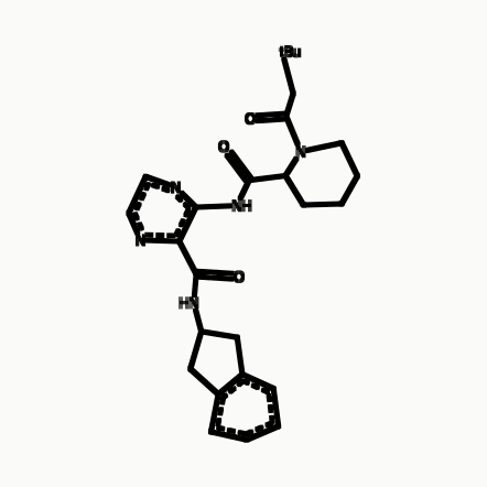 CC(C)(C)CC(=O)N1CCCCC1C(=O)Nc1nccnc1C(=O)NC1Cc2ccccc2C1